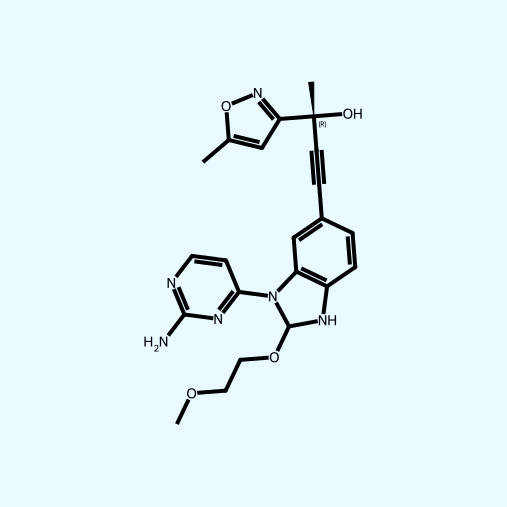 COCCOC1Nc2ccc(C#C[C@@](C)(O)c3cc(C)on3)cc2N1c1ccnc(N)n1